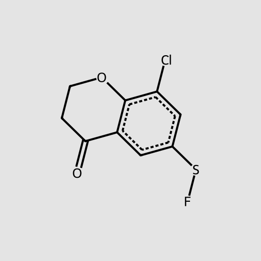 O=C1CCOc2c(Cl)cc(SF)cc21